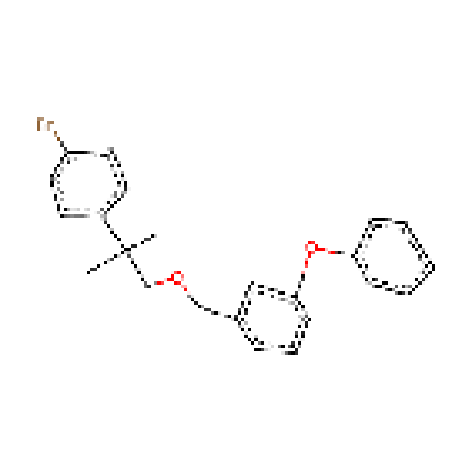 CC(C)(COCc1cccc(Oc2ccccc2)c1)c1ccc(Br)cc1